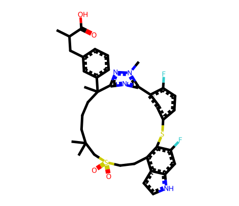 CC(Cc1cccc(C2(C)CCCC(C)(C)CS(=O)(=O)CCc3c(c(F)cc4[nH]ccc34)Sc3ccc(F)c(c3)-c3nc2nn3C)c1)C(=O)O